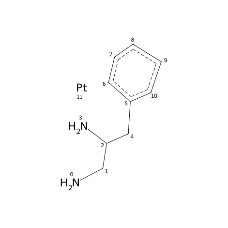 NCC(N)Cc1ccccc1.[Pt]